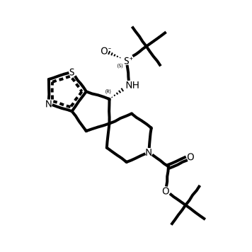 CC(C)(C)OC(=O)N1CCC2(CC1)Cc1ncsc1[C@@H]2N[S@+]([O-])C(C)(C)C